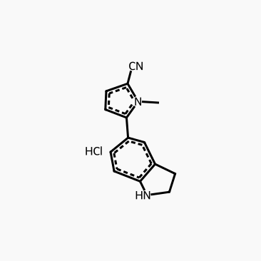 Cl.Cn1c(C#N)ccc1-c1ccc2c(c1)CCN2